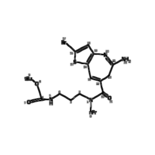 CCCN(CCCNC(=O)OC(C)(C)C)C(=O)C1=Cc2sc(Br)cc2N=C(N)C1